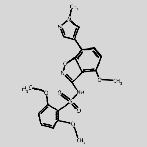 COc1cccc(OC)c1S(=O)(=O)Nc1noc2c(-c3cnn(C)c3)ccc(OC)c12